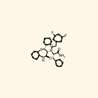 NC(=O)[C@H](Cc1ccccc1)N(C(=O)Cc1cc(F)cc(F)c1)[C@@H]1C(=O)Nc2ccccc2S[C@@H]1c1ccccc1